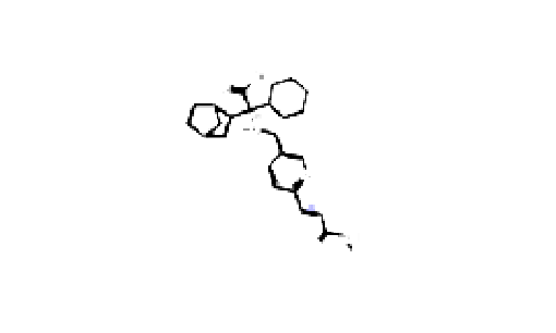 O=C(/C=C/c1ccc(CN[C@@](C(=O)O)(C2CCCCC2)C2CC3CCC2C3)cn1)NO